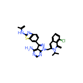 C=C(C)Nc1nc2ccc(-c3nn(CC4=Cc5cccc(Cl)c5C(=C)N4C(C)C)c4ncnc(N)c34)cc2s1